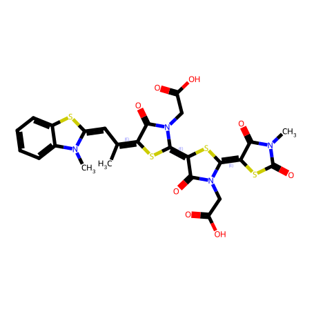 C/C(C=C1Sc2ccccc2N1C)=c1\s/c(=c2/s/c(=C3/SC(=O)N(C)C3=O)n(CC(=O)O)c2=O)n(CC(=O)O)c1=O